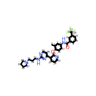 Cc1cc(NC(=O)c2cccc(C(F)(F)F)c2)ccc1Oc1ncccc1-c1ccnc(NCCCN2CCCC2)n1